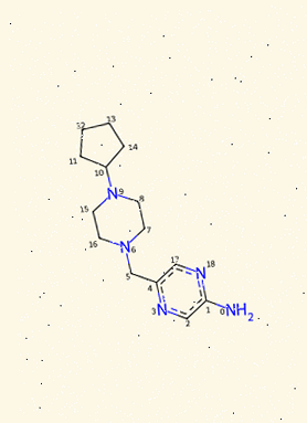 Nc1cnc(CN2CCN(C3CCCC3)CC2)cn1